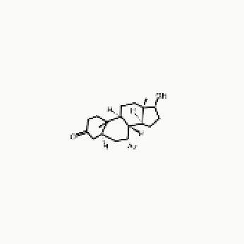 C[C@]12CCC(=O)C[C@@H]1CC[C@@H]1[C@@H]2CC[C@]2(C)[C@@H](O)CC[C@@H]12.[Au]